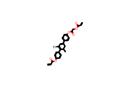 C=CC(=O)OCC(=O)Oc1ccc(C2=CC(CC)=C(c3ccc(OC(=O)C=C)cc3)C(C)C2)cc1